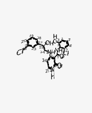 Cc1cccc(Cl)c1NC(=O)c1c(NC[C@@H](O)c2cccc(Cl)c2)cc[nH]c1=O